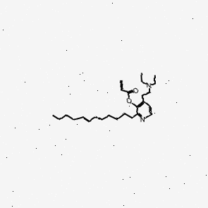 C=CC(=O)Oc1c(CCN(CC)CC)ccnc1CCCCCCCCCCCC